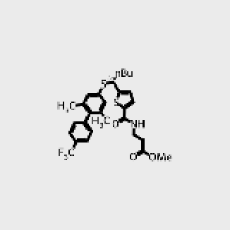 CCCC[C@@H](Sc1cc(C)c(-c2ccc(C(F)(F)F)cc2)c(C)c1)c1ccc(C(=O)NCCC(=O)OC)s1